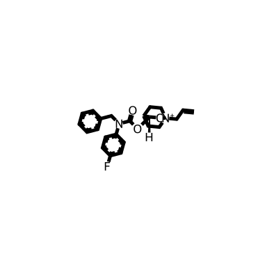 C=CC[N+]12CCC(CC1)[C@@H](OC(=O)N(Cc1ccccc1)c1ccc(F)cc1)C2